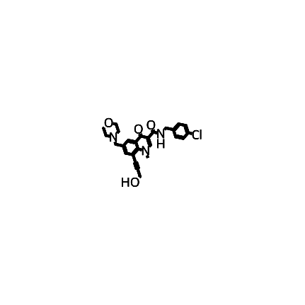 Cn1cc(C(=O)NCc2ccc(Cl)cc2)c(=O)c2cc(CN3CCOCC3)cc(C#CCO)c21